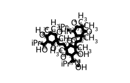 CC(C)NC1C(=O)C(C)(C)C(=O)C(C)(CCC2(C)C(=O)C(C)(CCC3(C)C(=O)C(C(O)C(C)C)C(=O)C(C)(C)C3=O)C(=O)C(/C(=N/O)C(C)C)C2O)C1=O